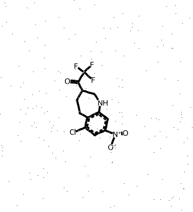 O=C(C1CCc2c(Cl)cc([N+](=O)[O-])cc2NC1)C(F)(F)F